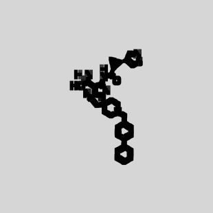 N#CCC1(n2cc(C(N)O)c(NC(=O)[C@H]3C[C@@H]3c3cnsc3)n2)CCN(Cc2ccc(-c3ccccc3)cc2)CC1